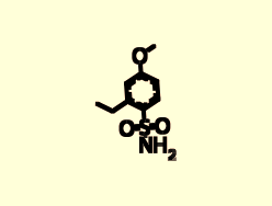 CCc1cc(OC)ccc1S(N)(=O)=O